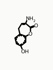 NC1=CCc2ccc(O)cc2OC1=O